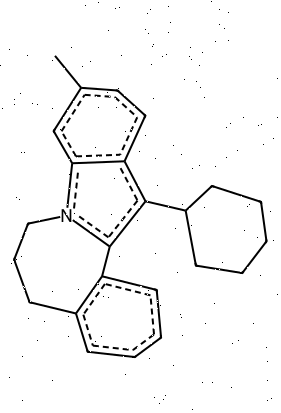 Cc1ccc2c(C3CCCCC3)c3n(c2c1)CCCc1ccccc1-3